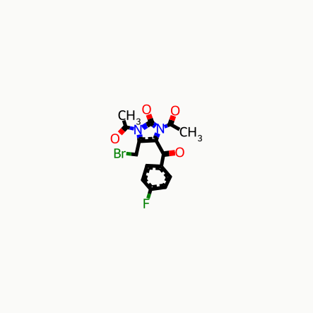 CC(=O)n1c(CBr)c(C(=O)c2ccc(F)cc2)n(C(C)=O)c1=O